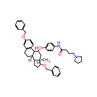 C[C@]12C[C@H](Oc3ccc(NC(=O)CCCN4CCCC4)cc3)[C@@H]3c4ccc(OCc5ccccc5)cc4CC[C@H]3[C@@H]1CC[C@@H]2OCc1ccccc1